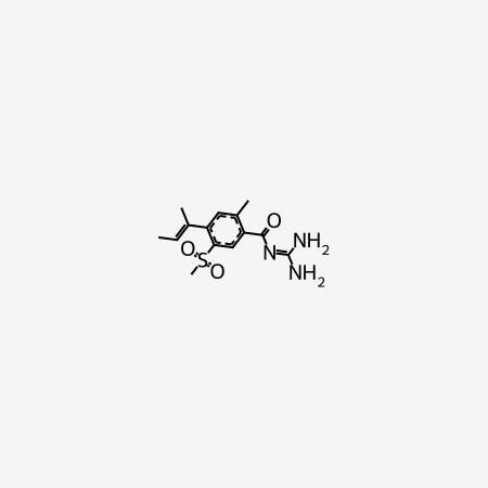 CC=C(C)c1cc(C)c(C(=O)N=C(N)N)cc1S(C)(=O)=O